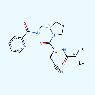 C#CC[C@H](NC(=O)[C@H](C)NC)C(=O)N1CCC[C@H]1CNC(=O)c1ccccn1